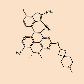 C[C@H](c1cccnc1N)N(C)c1nc(OC2CC3(CCN(C)CC3)C2)nc2c(F)c(-c3ccc(F)c4sc(N)c(C#N)c34)c(Cl)cc12